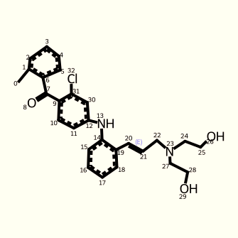 Cc1ccccc1C(=O)c1ccc(Nc2ccccc2/C=C/CN(CCO)CCO)cc1Cl